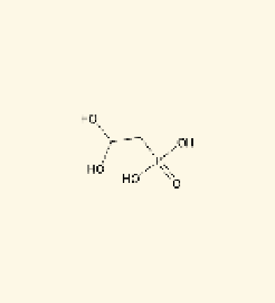 O=P(O)(O)CC(O)O